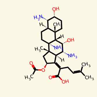 CC(=O)O[C@H]1C[C@@]2(C)[C@H](/C1=C(\CC=C(C)C)C(=O)O)[C@@H](N)[C@@H](O)[C@H]1[C@@]3(C)CC[C@@H](O)[C@@H](N)[C@@H]3CC[C@@]12N